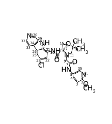 COc1ccc(NC(=O)CN2CC(C)(C)OC[C@H]2C(=O)Nc2cc(Cl)cc3c2[nH]c2cnccc23)cn1